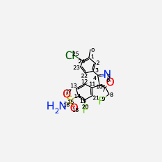 Cc1cc(-c2noc(CF)c2-c2ccc(S(N)(=O)=O)c(F)c2)ccc1Cl